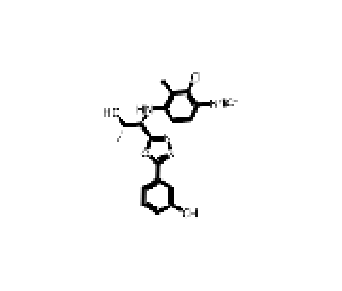 [C-]#[N+]c1ccc(N[C@@H](c2nnc(-c3cccc(O)c3)o2)[C@H](C)O)c(C)c1Cl